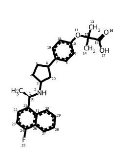 C[C@@H](NC1CCC(c2ccc(OC(C)(C)C(=O)O)cc2)C1)c1ccc(F)c2ccccc12